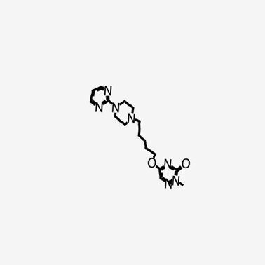 Cn1ncc(OCCCCCN2CCN(c3ncccn3)CC2)nc1=O